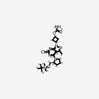 Cc1nn([C@H]2C[C@@H](OC(N)=O)C2)c2nc(Cl)nc(N3CCC[C@H]3CO[Si](C)(C)C(C)(C)C)c12